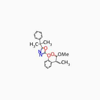 CC=C(C(=O)OC)c1ccccc1Oc1nnc(C(C)(C)c2ccccc2)o1